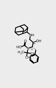 CC(C)(C)N(C(=O)O)[C@@H](Cc1ccccc1)[C@H](O)CNC1C2CC3CC(C2)CC1C3